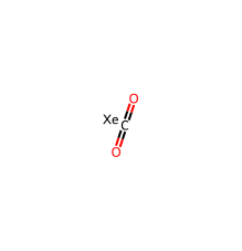 O=C=O.[Xe]